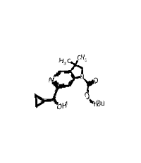 CC(C)(C)OC(=O)N1CC(C)(C)c2cnc(C(O)C3CC3)cc21